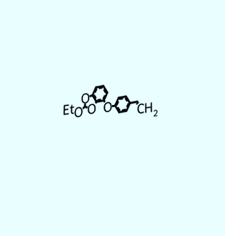 C=Cc1ccc(Oc2cccc3c2OC(OCC)O3)cc1